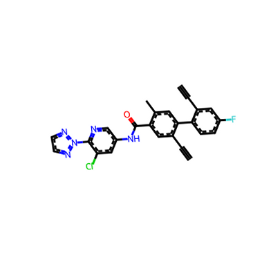 C#Cc1cc(F)ccc1-c1cc(C)c(C(=O)Nc2cnc(-n3nccn3)c(Cl)c2)cc1C#C